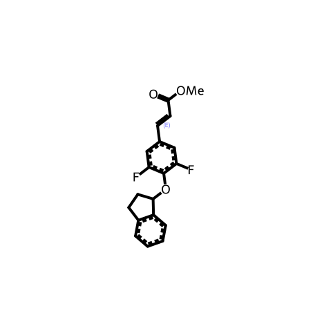 COC(=O)/C=C/c1cc(F)c(OC2CCc3ccccc32)c(F)c1